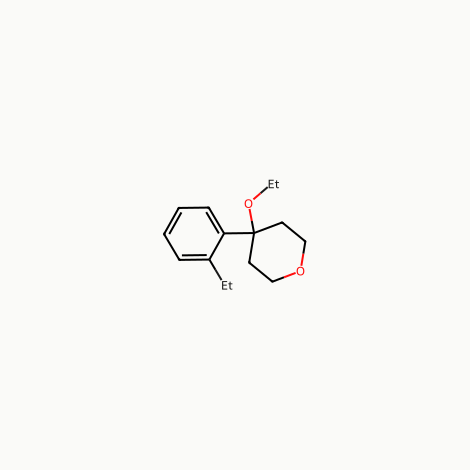 CCOC1(c2ccccc2CC)CCOCC1